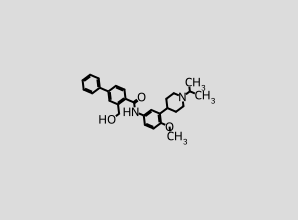 COc1ccc(NC(=O)c2ccc(-c3ccccc3)cc2CO)cc1C1CCN(C(C)C)CC1